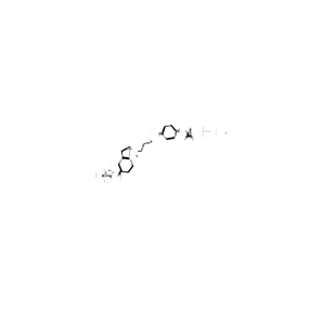 CC(C)(C=O)Oc1ccc(OCCCn2ccc3cc(OS(C)(=O)=O)ccc32)cc1